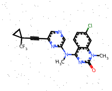 CN(c1cncc(C#CC2(C(F)(F)F)CC2)n1)c1nc(=O)n(C)c2cc(Cl)ccc12